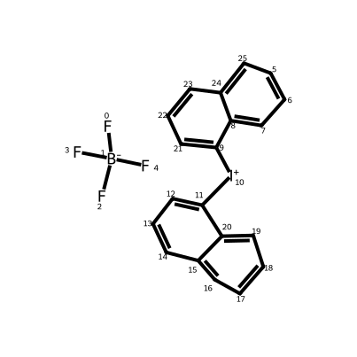 F[B-](F)(F)F.c1ccc2c([I+]c3cccc4ccccc34)cccc2c1